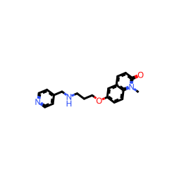 Cn1c(=O)ccc2cc(OCCCNCc3ccncc3)ccc21